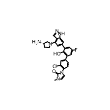 Cn1ccn(-c2ccc(-c3cc(F)cc(-c4cc(N5CC[C@H](N)C5)c5cn[nH]c5c4)c3O)cc2Cl)c1=O